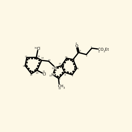 CCOC(=O)CCC(=O)c1ccc2c(C)nn(Cc3c(Cl)cccc3Cl)c2c1